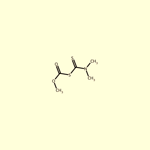 COC(=O)SC(=S)N(C)C